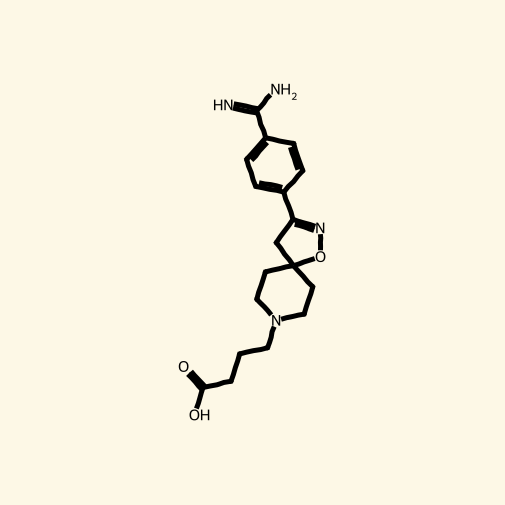 N=C(N)c1ccc(C2=NOC3(CCN(CCCC(=O)O)CC3)C2)cc1